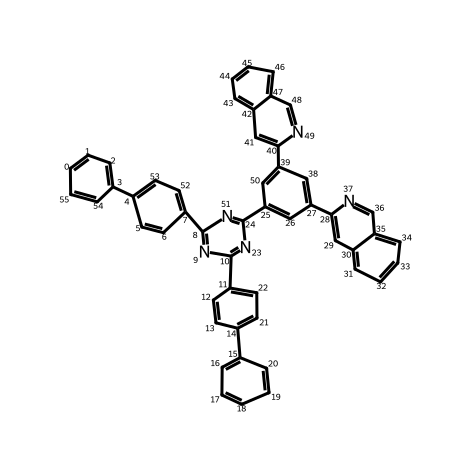 c1ccc(-c2ccc(-c3nc(-c4ccc(-c5ccccc5)cc4)nc(-c4cc(-c5cc6ccccc6cn5)cc(-c5cc6ccccc6cn5)c4)n3)cc2)cc1